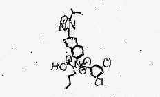 CCCCC(C(=O)O)N(c1ccc2cc(-c3noc(C(C)C)n3)ccc2c1)S(=O)(=O)c1cc(Cl)cc(Cl)c1